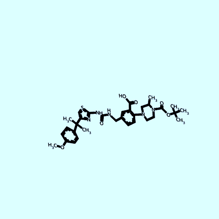 COc1ccc(C(C)(C)c2csc(NC(=O)NCc3ccc(N4CCN(C(=O)OC(C)(C)C)C(C)C4)c(C(=O)O)c3)n2)cc1